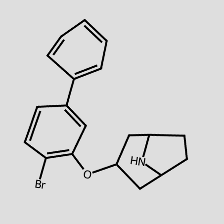 Brc1ccc(-c2ccccc2)cc1OC1CC2CCC(C1)N2